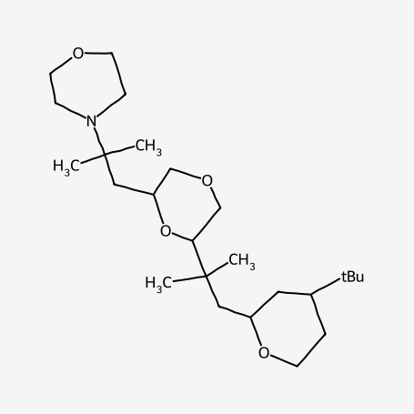 CC(C)(C)C1CCOC(CC(C)(C)C2COCC(CC(C)(C)N3CCOCC3)O2)C1